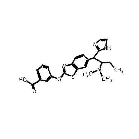 CCC(C(c1ccc2nc(Oc3cccc(C(=O)O)c3)sc2c1)c1ncc[nH]1)N(C)C